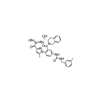 CCCCN(CCCC)C(=O)c1cc(C)n(-c2ccc(NC(=O)NCc3cccc(C)c3)cc2C(=O)N2Cc3ccccc3C[C@H]2CO)n1